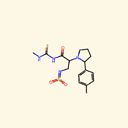 CNC(=S)NC(=O)C(CN=S(=O)=O)N1CCCC1c1ccc(C)cc1